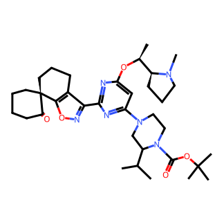 CC(C)C1CN(c2cc(O[C@@H](C)[C@@H]3CCCN3C)nc(-c3noc4c3CCC[C@@]43CCCCC3=O)n2)CCN1C(=O)OC(C)(C)C